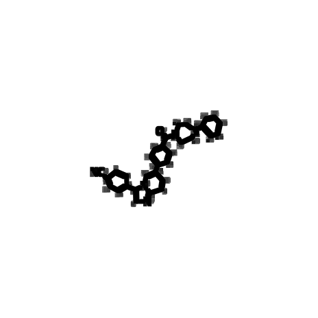 N#Cc1ccc(-c2cnc3ccc(-c4ccc(C(=O)N5CCN(c6ccccc6)CC5)cc4)cn23)cc1